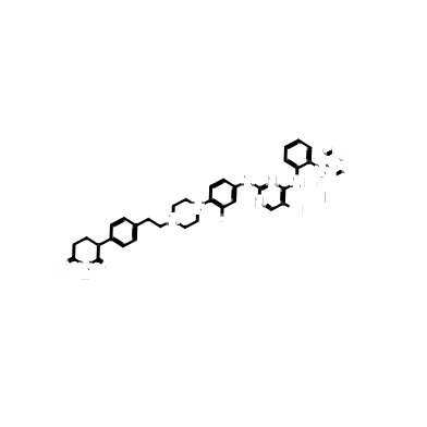 CN(c1ccccc1Nc1nc(Nc2ccc(N3CCN(CCc4ccc(C5CCC(=O)NC5=O)cc4)CC3)c(F)c2)ncc1Cl)S(C)(=O)=O